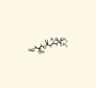 C[N+](C)(C)CCCC(=O)OC[C@H](O)CO